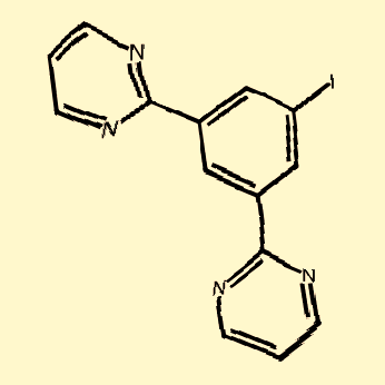 Ic1cc(-c2ncccn2)cc(-c2ncccn2)c1